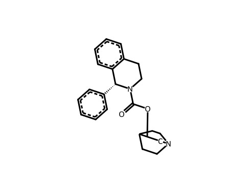 O=C(OC1CN2CCC1CC2)N1CCc2ccccc2[C@H]1c1ccccc1